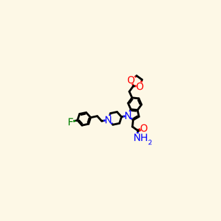 NC(=O)Cc1cc2ccc(CC3OCCO3)cc2n1C1CCN(CCc2ccc(F)cc2)CC1